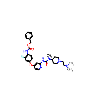 CN(C)CCN1CCC(N(C)C(=O)Nc2cc(Oc3ccc(NC(=O)OCc4ccccc4)c(F)c3)ccn2)CC1